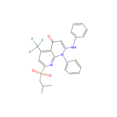 CC(C)CS(=O)(=O)c1cc(C(F)(F)F)c2c(=O)cc(Nc3ccccc3)n(-c3ccccc3)c2n1